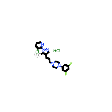 Cc1c(C=CCN2CCN(c3cc(F)cc(F)c3)CC2)cnn1-c1ncccc1Cl.Cl